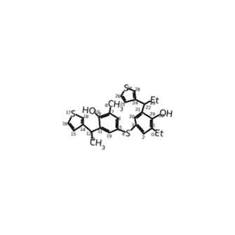 CCc1cc(Sc2cc(C)c(O)c(C(C)c3ccsc3)c2)cc(C(CC)c2ccsc2)c1O